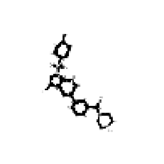 Cc1ccc(S(=O)(=O)n2cc(I)c3cc(-c4cccc(C(=O)N5CCOCC5)c4)cnc32)cc1